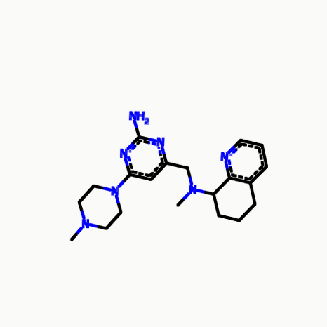 CN1CCN(c2cc(CN(C)C3CCCc4cccnc43)nc(N)n2)CC1